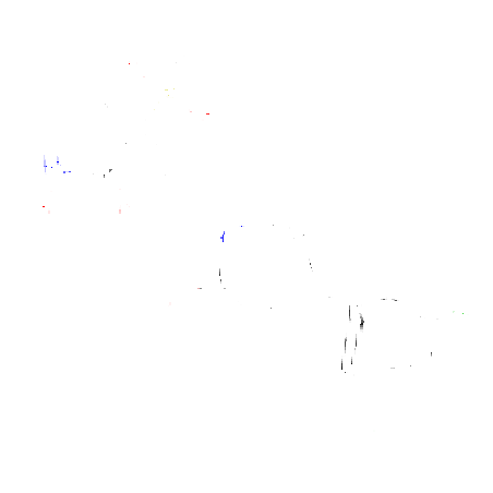 CC(CCn1ccc(-c2cc(Cl)cc(Cl)c2)cc1=O)(C(=O)NO)S(C)(=O)=O